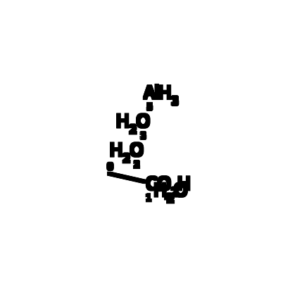 CC(=O)O.O.O.O.[AlH3]